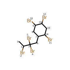 CC(Br)C(Br)(Br)CC1CC(Br)C(Br)CC1Br